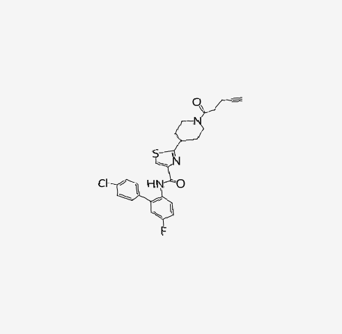 C#CCCC(=O)N1CCC(c2nc(C(=O)Nc3ccc(F)cc3-c3ccc(Cl)cc3)cs2)CC1